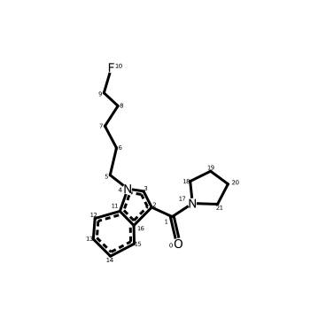 O=C(c1cn(CCCCCF)c2ccccc12)N1CCCC1